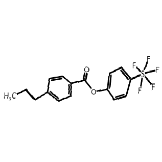 CCCc1ccc(C(=O)Oc2ccc(S(F)(F)(F)(F)F)cc2)cc1